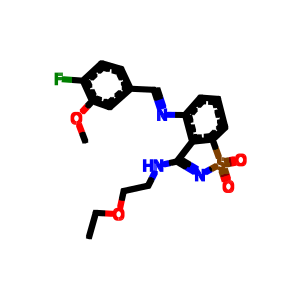 CCOCCNC1=NS(=O)(=O)c2cccc(/N=C/c3ccc(F)c(OC)c3)c21